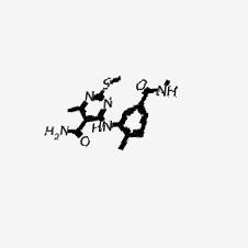 CNC(=O)c1ccc(C)c(Nc2nc(SC)nc(C)c2C(N)=O)c1